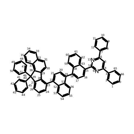 c1ccc(-c2cc(-c3ccccc3)nc(-c3ccc(-c4ccc(-c5cccc6c5-c5ccc7ccccc7c5C6(c5ccccc5)c5ccccc5)c5ccccc45)c4ccccc34)n2)cc1